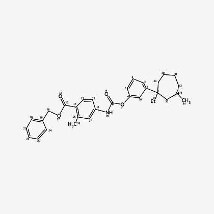 CCC1(c2cccc(OC(=O)Nc3ccc(C(=O)OCc4ccccc4)c(C)c3)c2)CCCCN(C)C1